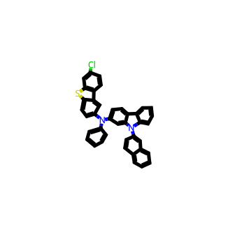 Clc1ccc2c(c1)sc1ccc(N(c3ccccc3)c3ccc4c5ccccc5n(-c5ccc6ccccc6c5)c4c3)cc12